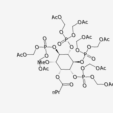 CCCC(=O)O[C@@H]1[C@H](OC)[C@@H](OP(=O)(OCOC(C)=O)OCOC(C)=O)[C@H](OP(=O)(OCOC(C)=O)OCOC(C)=O)[C@@H](OP(=O)(OCOC(C)=O)OCOC(C)=O)[C@@H]1OP(=O)(OCOC(C)=O)OCOC(C)=O